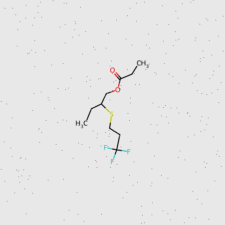 CCC(=O)OCC(CC)SCCC(F)(F)F